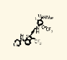 CNC(=O)c1cc(OCC(F)(F)F)c(NCC#Cc2sc3c(NC4CCOCC4)cccc3c2CC(F)(F)F)cc1F